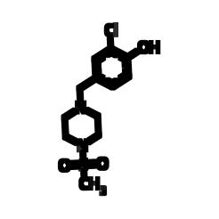 CS(=O)(=O)N1CCN(Cc2ccc(O)c(Cl)c2)CC1